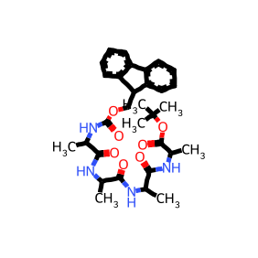 CC(NC(=O)OCC1c2ccccc2-c2ccccc21)C(=O)NC(C)C(=O)NC(C)C(=O)NC(C)C(=O)OC(C)(C)C